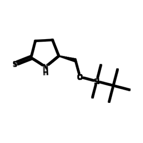 CC(C)(C)[Si](C)(C)OC[C@@H]1CCC(=S)N1